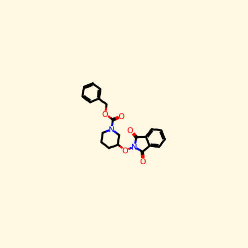 O=C(OCc1ccccc1)N1CCCC(ON2C(=O)c3ccccc3C2=O)C1